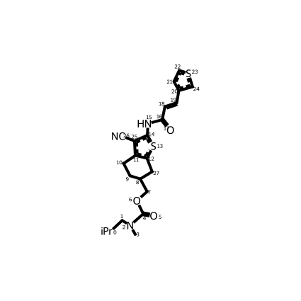 CC(C)CN(C)C(=O)OCC1CCc2c(sc(NC(=O)C=Cc3ccsc3)c2C#N)C1